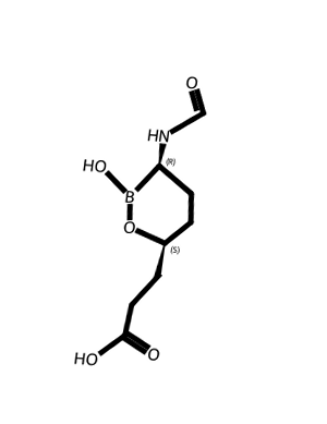 O=CN[C@H]1CC[C@@H](CCC(=O)O)OB1O